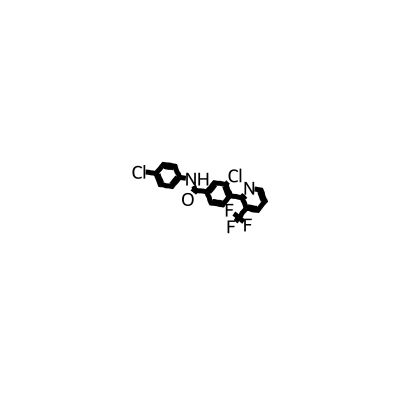 O=C(Nc1ccc(Cl)cc1)c1ccc(-c2ncccc2C(F)(F)F)c(Cl)c1